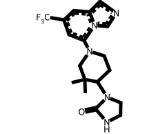 CC1(C)CN(c2cc(C(F)(F)F)cc3cncn23)CCC1N1CCNC1=O